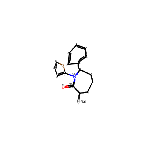 CNC1CCCC(c2ccccc2)N(c2cccs2)C1=O